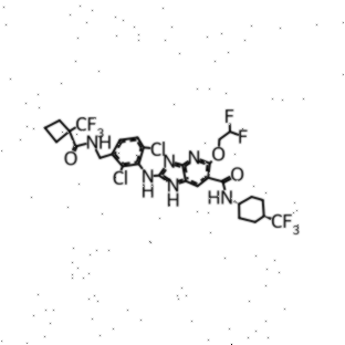 O=C(N[C@H]1CC[C@H](C(F)(F)F)CC1)c1cc2[nH]c(Nc3c(Cl)ccc(CNC(=O)C4(C(F)(F)F)CCC4)c3Cl)nc2nc1OCC(F)F